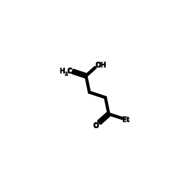 C=C(O)CCC(=O)CC